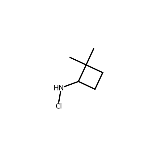 CC1(C)CCC1NCl